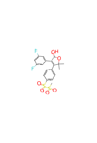 CC1(C)OC(O)C(c2cc(F)cc(F)c2)=C1c1ccc(S(=O)(=O)S(C)(=O)=O)cc1